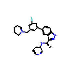 C=C(Nc1cccnc1)c1n[nH]c2ccc(-c3cc(F)cc(CN4CCCCC4)c3)cc12